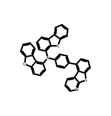 c1ccc2c(c1)oc1cccc(N(c3ccc(-c4cccc5sc6ncccc6c45)cc3)c3cccc4c3sc3ccccc34)c12